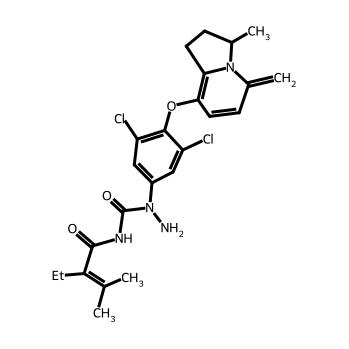 C=C1C=CC(Oc2c(Cl)cc(N(N)C(=O)NC(=O)C(CC)=C(C)C)cc2Cl)=C2CCC(C)N12